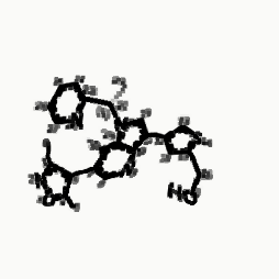 Cc1noc(C)c1-c1cnc2c(-c3csc(CO)c3)cn([C@@H](C)c3ccccn3)c2c1